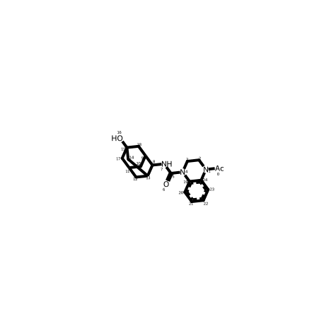 CC(=O)N1CCN(C(=O)NC2C3CC4CC2CC(O)(C4)C3)c2ccccc21